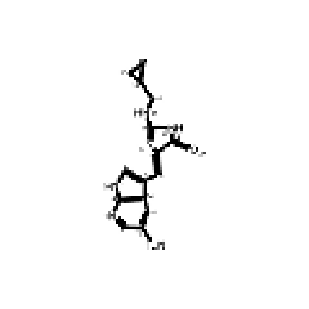 N#Cc1cnc2[nH]cc(C=C3N=C(NCC4CC4)NC3=O)c2c1